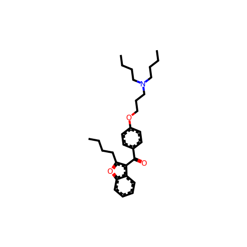 CCCCc1oc2ccccc2c1C(=O)c1ccc(OCCCN(CCCC)CCCC)cc1